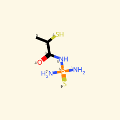 CC(S)C(=O)NP(N)(N)=S